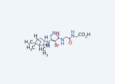 C[C@@H]1[C@H]2C[C@@H](C[C@H]1N/C(C=N)=C(\Br)C(=O)NCC(=O)NCC(=O)O)C2(C)C